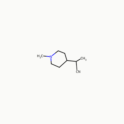 CC(C#N)C1CCN(C)CC1